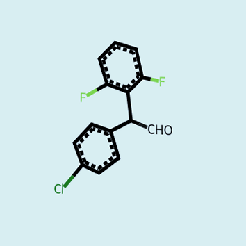 O=CC(c1ccc(Cl)cc1)c1c(F)cccc1F